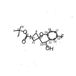 CC(C)(C)OC(=O)N1CC2(CC(O)c3cc(F)ccc3O2)C1